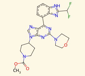 COC(=O)N1CCC(n2cnc3c(-c4cccc5[nH]c(C(F)F)nc45)nc(N4CCOCC4)nc32)CC1